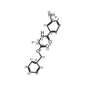 C[C@H](NC(=O)c1cccc(N)c1)C(=O)OCc1ccccc1